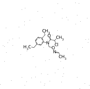 CC=NOCN(C(=O)C(C)Cl)c1cc(CC)ccc1CC